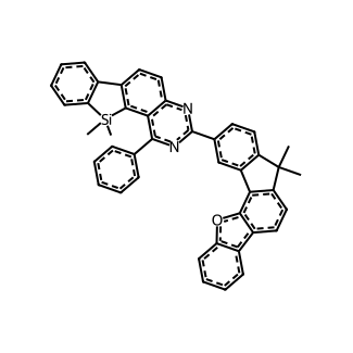 CC1(C)c2ccc(-c3nc(-c4ccccc4)c4c5c(ccc4n3)-c3ccccc3[Si]5(C)C)cc2-c2c1ccc1c2oc2ccccc21